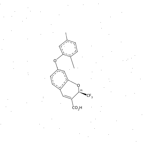 Cc1ccc(C)c(Oc2ccc3c(c2)O[C@@H](C(F)(F)F)C(C(=O)O)=C3)c1